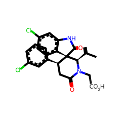 C=C(C)[C@H]1N(CC(=O)O)C(=O)C[C@@H](c2cccc(Cl)c2)[C@]12C(=O)Nc1cc(Cl)ccc12